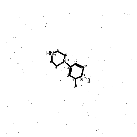 CC1C=C(N2CCNCC2)C=C[C@@H]1C